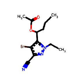 CCCC(OC(C)=O)c1c(Br)c(C#N)nn1CC